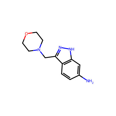 Nc1ccc2c(CN3CCOCC3)n[nH]c2c1